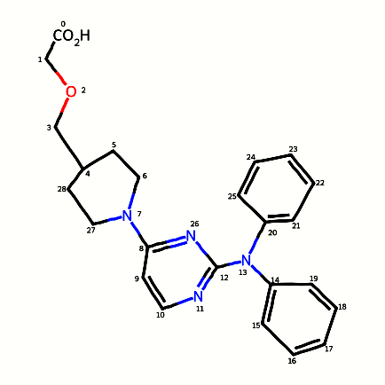 O=C(O)COCC1CCN(c2ccnc(N(c3ccccc3)c3ccccc3)n2)CC1